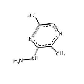 Cc1cnc(C)c(NN)n1